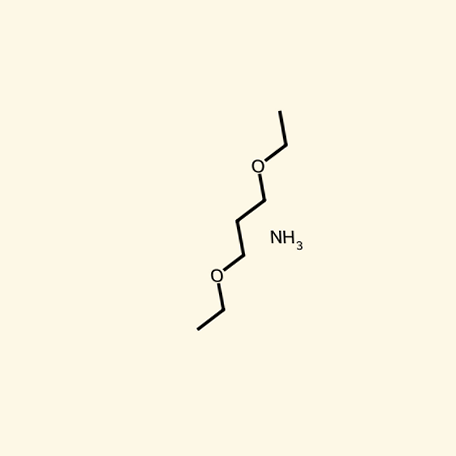 CCOCCCOCC.N